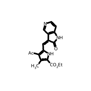 CCOC(=O)c1[nH]c(C=C2C(=O)Nc3ccncc32)c(C(C)=O)c1C